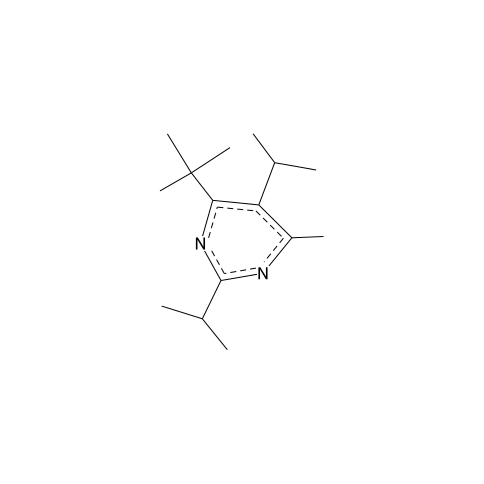 Cc1nc(C(C)C)nc(C(C)(C)C)c1C(C)C